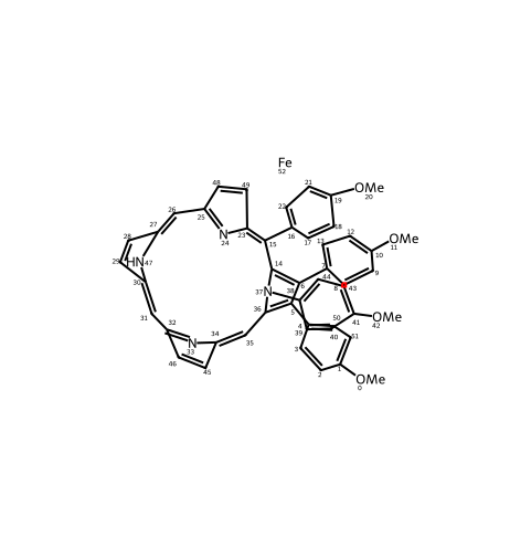 COc1ccc(-c2c(-c3ccc(OC)cc3)c3c(-c4ccc(OC)cc4)c4nc(cc5ccc(cc6nc(cc2n3-c2ccc(OC)cc2)C=C6)[nH]5)C=C4)cc1.[Fe]